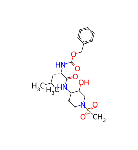 CC(C)C[C@H](NC(=O)OCc1ccccc1)C(=O)NC1CCN(S(C)(=O)=O)CC1O